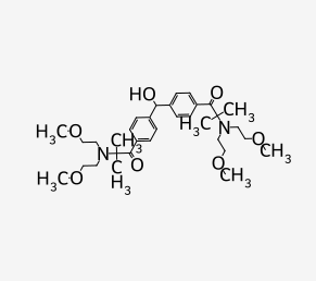 COCCN(CCOC)C(C)(C)C(=O)c1ccc(C(O)c2ccc(C(=O)C(C)(C)N(CCOC)CCOC)cc2)cc1